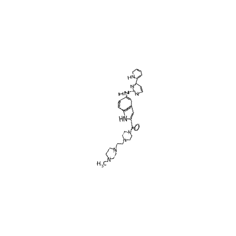 CN1CCN(CCN2CCN(C(=O)c3cc4cc(Nc5nccc(C6=CC=CCN6)n5)ccc4[nH]3)CC2)CC1